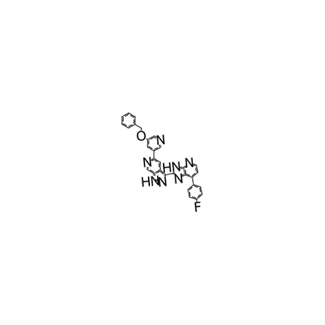 Fc1ccc(-c2ccnc3[nH]c(-c4n[nH]c5cnc(-c6cncc(OCc7ccccc7)c6)cc45)nc23)cc1